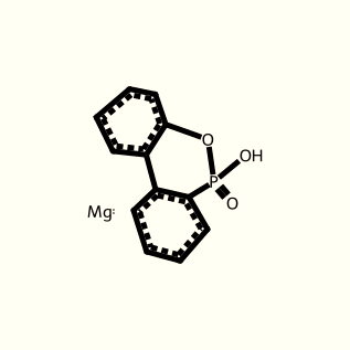 O=P1(O)Oc2ccccc2-c2ccccc21.[Mg]